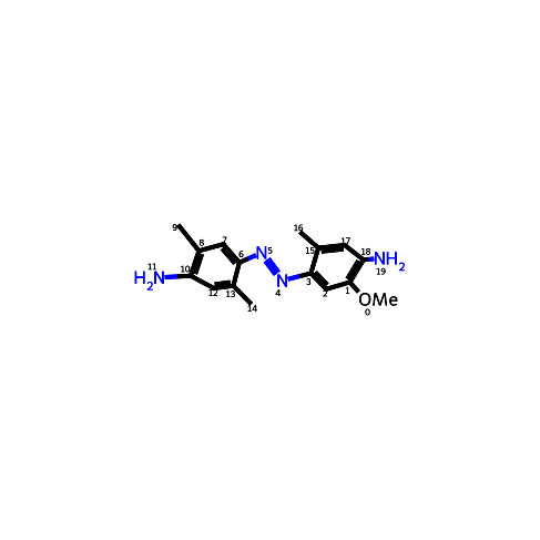 COc1cc(N=Nc2cc(C)c(N)cc2C)c(C)cc1N